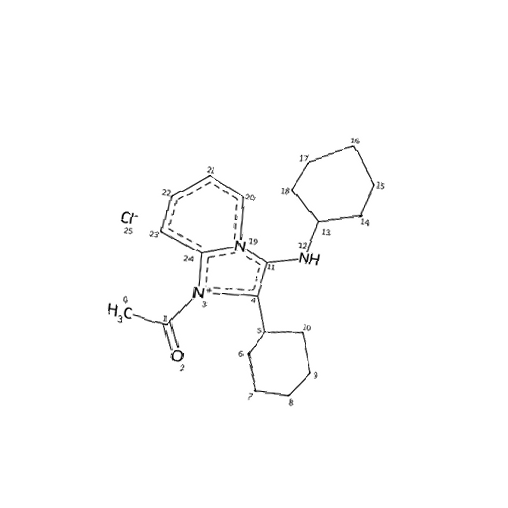 CC(=O)[n+]1c(C2CCCCC2)c(NC2CCCCC2)n2ccccc21.[Cl-]